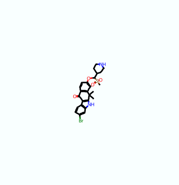 CC1(C)c2cc(OC(C3CCNCC3)S(C)(=O)=O)ccc2C(=O)c2c1[nH]c1cc(Br)ccc21